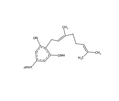 CCCCCc1cc(N=O)c(C/C=C(\C)CCC=C(C)C)c(OC)c1